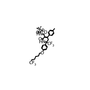 Cc1ccc(C2=C(C(=O)NS(=O)(=O)N(C)C)C(=O)NC(c3ccc(OCCCCCC(F)(F)F)cc3)(C(F)(F)F)C2)cc1